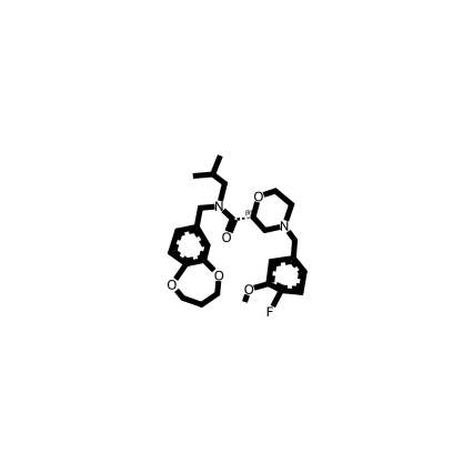 COc1cc(CN2CCO[C@@H](C(=O)N(Cc3ccc4c(c3)OCCCO4)CC(C)C)C2)ccc1F